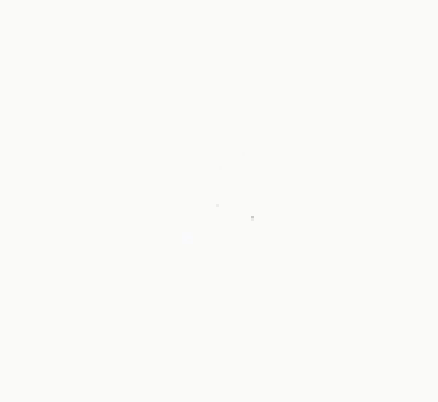 C/C(O)=C/C(=O)OC(C)(C)C